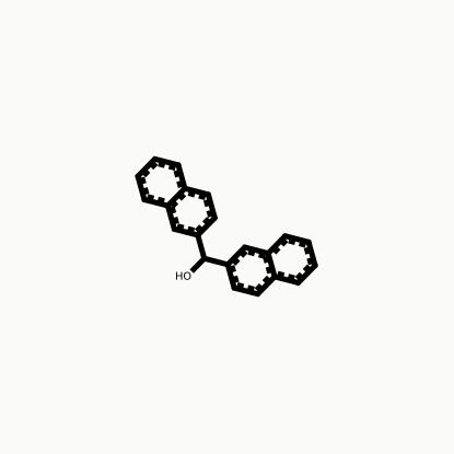 OC(c1ccc2ccccc2c1)c1ccc2ccccc2c1